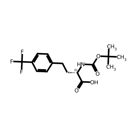 CC(C)(C)OC(=O)N[C@@H](CCc1ccc(C(F)(F)F)cc1)C(=O)O